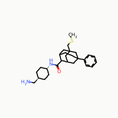 CSCC12CC3CC(c4ccccc4)(CC(C1)C3C(=O)N[C@H]1CC[C@H](CN)CC1)C2